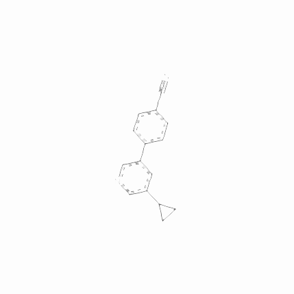 N#Cc1ccc(-c2cncc(C3[CH]C3)c2)cc1